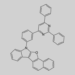 c1ccc(-c2cc(-c3cccc(-n4c5ccccc5c5c6ccc7ccccc7c6oc54)c3)nc(-c3ccccc3)n2)cc1